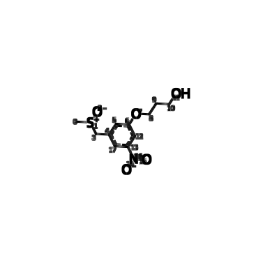 C[S+]([O-])Cc1cc(OCCCO)cc([N+](=O)[O-])c1